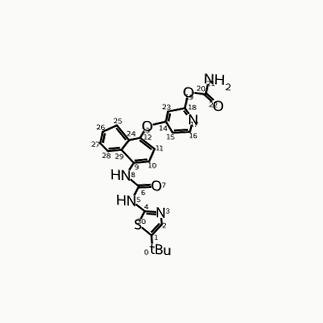 CC(C)(C)c1cnc(NC(=O)Nc2ccc(Oc3ccnc(OC(N)=O)c3)c3ccccc23)s1